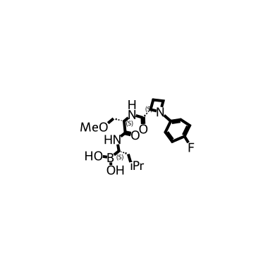 COC[C@H](NC(=O)[C@@H]1CCN1c1ccc(F)cc1)C(=O)N[C@H](CC(C)C)B(O)O